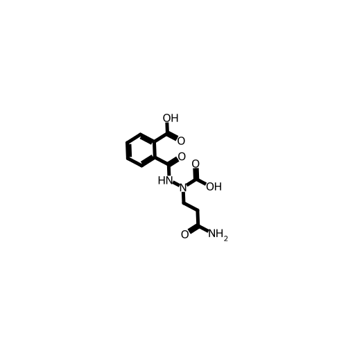 NC(=O)CCN(NC(=O)c1ccccc1C(=O)O)C(=O)O